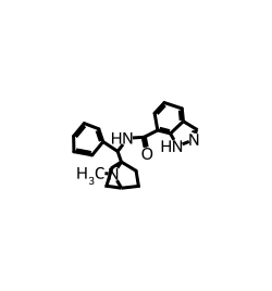 CN1C2CCC1(C(NC(=O)c1cccc3cn[nH]c13)c1ccccc1)CC2